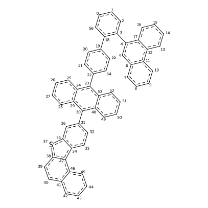 c1ccc(-c2cc3ccccc3c3ccccc23)c(-c2ccc(-c3c4ccccc4c(-c4ccc5c(c4)sc4ccc6ccccc6c45)c4ccccc34)cc2)c1